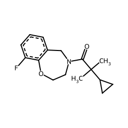 CC(C)(C(=O)N1CCOc2c(F)cccc2C1)C1CC1